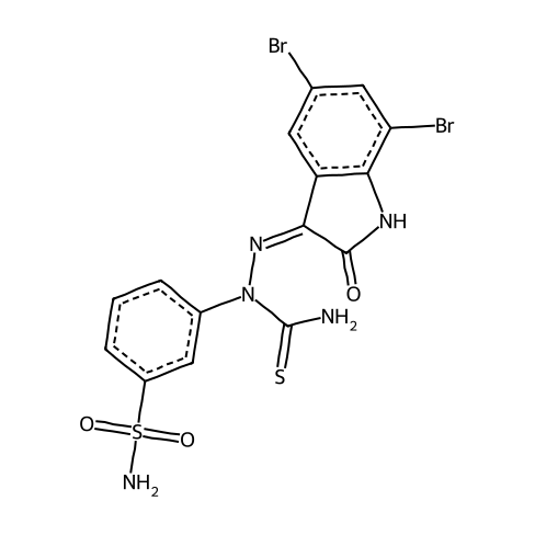 NC(=S)N(/N=C1\C(=O)Nc2c(Br)cc(Br)cc21)c1cccc(S(N)(=O)=O)c1